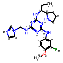 CCC(Nc1nc(NCn2ccnc2)nc(Nc2ccc(OC)c(F)c2)n1)C1CCCN1